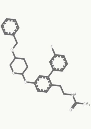 CC(=O)NCCc1ccc(OC2CCC(OCc3ccccc3)CO2)cc1-c1cccc(F)c1